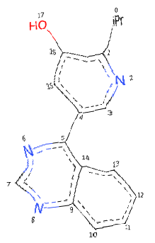 CC(C)c1ncc(-c2ncnc3ccccc23)cc1O